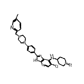 CCN1CCC(Nc2c(Cl)cnc3[nH]c(-c4ccc(N5CCN(Cc6ccc(C)cn6)CC5)cc4)nc23)CC1